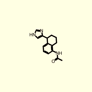 CC(=O)Nc1cccc2c1CCCC2c1c[nH]cn1